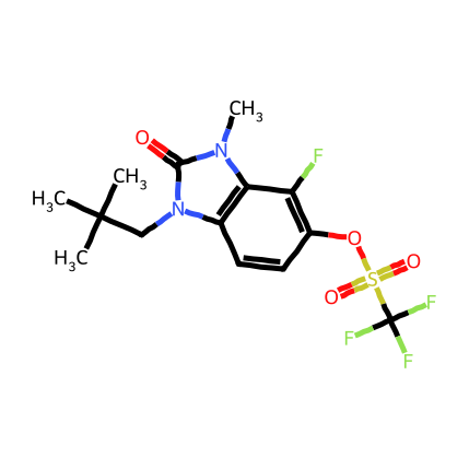 Cn1c(=O)n(CC(C)(C)C)c2ccc(OS(=O)(=O)C(F)(F)F)c(F)c21